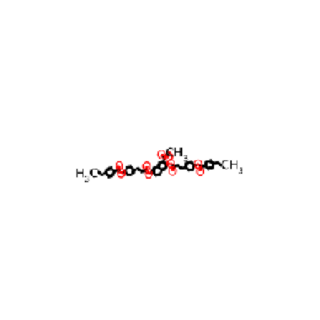 CCCc1ccc(C(=O)OC2CCC(CCC(=O)Oc3ccc4cc(OC(=O)CCC5CCC(OC(=O)c6ccc(CCC)cc6)CC5)c(C(=O)OC)cc4c3)CC2)cc1